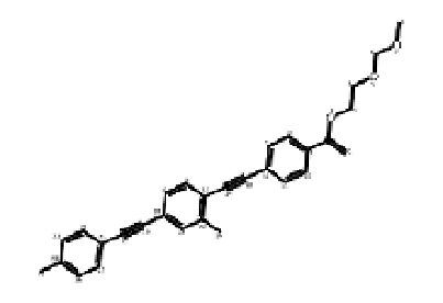 C=C(OCCOCOC)c1ccc(C#Cc2ccc(C#Cc3ccc(C)cc3)cc2C)cc1